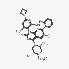 Cc1cc(N2CCC2)nc(C(C)C)c1-n1c(=O)nc(N2C[C@@H](C)N(C(=O)O)C[C@@H]2C)c2cc(Cl)c(-c3ccccc3F)nc21